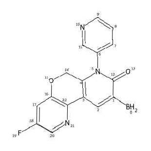 Bc1cc2c(n(-c3cccnc3)c1=O)COc1cc(F)cnc1-2